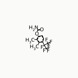 Cc1c(OC(N)=O)ccc(C(F)(C(F)(F)F)C(F)(F)F)c1C